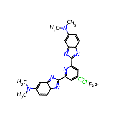 CN(C)C1=CC2=NC(c3cccc(C4=NC5C=CC(N(C)C)=CC5=N4)n3)=NC2C=C1.[Cl-].[Cl-].[Fe+2]